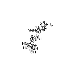 CN[C@@H]1[C@@H](COP(=O)(S)OP(=O)(O)OC2OC3(O)C2C(O)C(O)C3[C@@H](O)CO)O[C@@H](c2snc3c(N)ncnc23)[C@]1(C)F